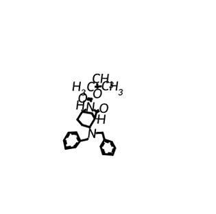 CC(C)(C)OC(=O)N1C(=O)[C@@H]2C[C@H]1CC[C@@H]2N(Cc1ccccc1)Cc1ccccc1